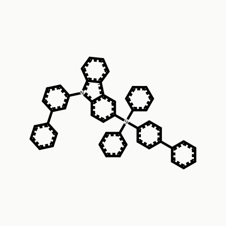 c1ccc(-c2ccc([Si](c3ccccc3)(c3ccccc3)c3ccc4c(c3)c3ccccc3n4-c3cccc(-c4ccccc4)c3)cc2)cc1